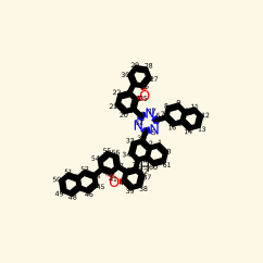 C1=CC2=C(c3nc(-c4ccc5ccccc5c4)nc(-c4cccc5c4oc4ccccc45)n3)C=CC(c3cccc4oc5c(-c6ccc7ccccc7c6)cccc5c34)[C@@H]2C=C1